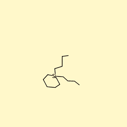 CCCC[Si]1(CCCC)CCCCC1